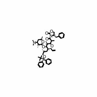 C=CC[C@@H](C[C@@H](C)CO[Si](c1ccccc1)(c1ccccc1)C(C)(C)C)[C@H](O[C@@H]1O[C@H](C)CC(N(C)C)[C@H]1C)[C@@H](C)C(=O)C(C)C(=O)N1C(=O)OC[C@H]1Cc1ccccc1